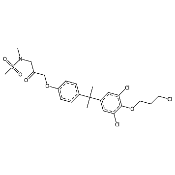 CN(CC(=O)COc1ccc(C(C)(C)c2cc(Cl)c(OCCCCl)c(Cl)c2)cc1)S(C)(=O)=O